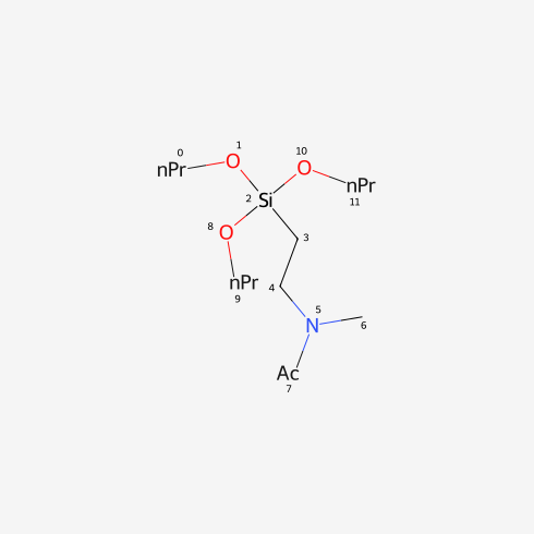 CCCO[Si](CCN(C)C(C)=O)(OCCC)OCCC